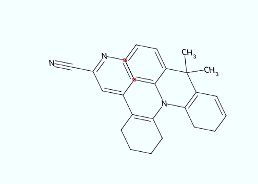 CC1(C)C2=C(CCC=C2)N(C2=C(c3ccnc(C#N)c3)CCCC2)c2ccccc21